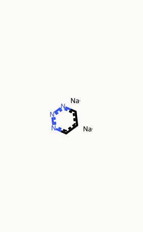 [Na].[Na].c1cnnnc1